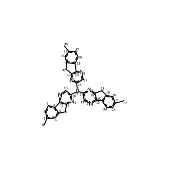 Cc1ccc2c(c1)Cc1nc(B(c3cnc4c(n3)Cc3cc(C)ccc3-4)c3cnc4c(n3)Cc3cc(C)ccc3-4)cnc1-2